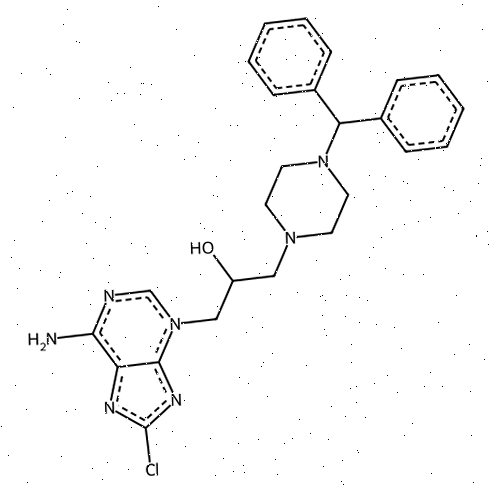 Nc1ncn(CC(O)CN2CCN(C(c3ccccc3)c3ccccc3)CC2)c2nc(Cl)nc1-2